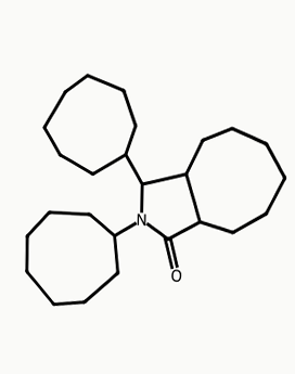 O=C1C2CCCCCCC2C(C2CCCCCCC2)N1C1CCCCCCC1